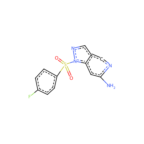 Nc1cc2c(cn1)cnn2S(=O)(=O)c1ccc(F)cc1